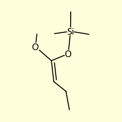 CC/C=C(/OC)O[Si](C)(C)C